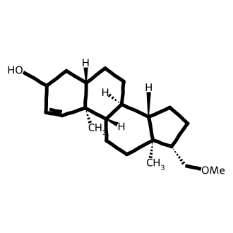 COC[C@H]1CC[C@H]2[C@@H]3CC[C@H]4CC(O)C=C[C@]4(C)[C@H]3CC[C@]12C